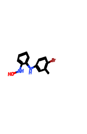 Cc1cc(Nc2ccccc2NO)ccc1Br